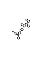 N#Cc1ccc2c(c1)c1cc(-c3ccc(-c4cc5c6ccccc6c(-c6cccc7ccccc67)cc5c5ccccc45)cn3)ccc1n2-c1ccccc1